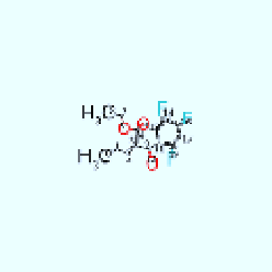 CCC=C(C(=O)OCC)C(=O)c1cc(F)c(F)cc1F